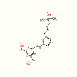 CC(C)(O)CCCCc1cccc(C=Cc2cc(CO)cc(CO)c2)c1